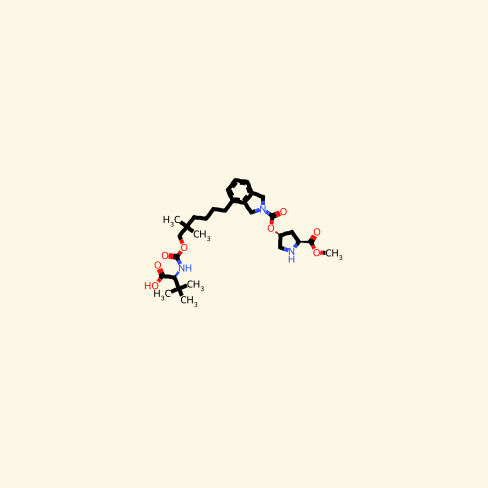 COC(=O)[C@@H]1C[C@@H](OC(=O)N2Cc3cccc(CCCCC(C)(C)COC(=O)N[C@H](C(=O)O)C(C)(C)C)c3C2)CN1